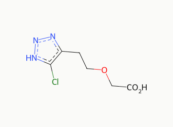 O=C(O)COCCc1nn[nH]c1Cl